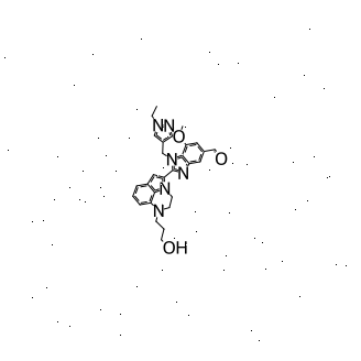 CCn1cc(Cn2c(-c3cc4cccc5c4n3CCN5CCCO)nc3cc(C=O)cc(OC)c32)cn1